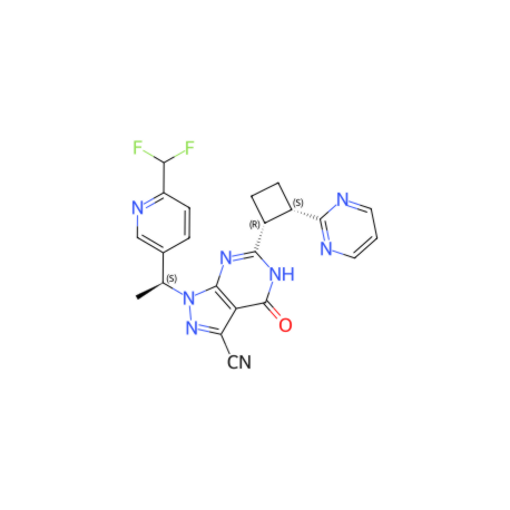 C[C@@H](c1ccc(C(F)F)nc1)n1nc(C#N)c2c(=O)[nH]c([C@@H]3CC[C@@H]3c3ncccn3)nc21